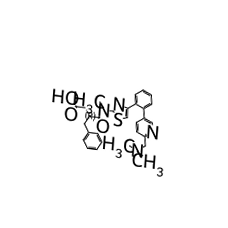 CN(C)Cc1ccc(-c2ccccc2-c2csc(N(C)C(=O)[C@@H](CC(=O)O)Cc3ccccc3)n2)cn1